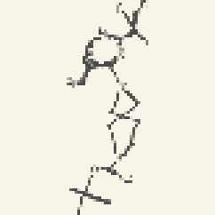 CC(C)(C)OC(=O)N1CCC2(C1)CN(c1nc(C(F)(F)F)ncc1Br)C2